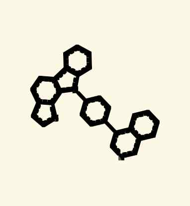 c1ccc2c(-c3ccc(-n4c5ccccc5c5ccc6ccsc6c54)cc3)cncc2c1